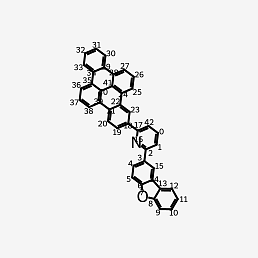 c1cc(-c2ccc3oc4ccccc4c3c2)nc(-c2ccc3c(c2)c2cccc4c5ccccc5c5cccc3c5c42)c1